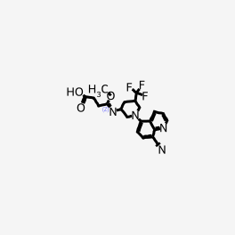 CO/C(CCC(=O)O)=N\C1CC(C(F)(F)F)CN(c2ccc(C#N)c3ncccc23)C1